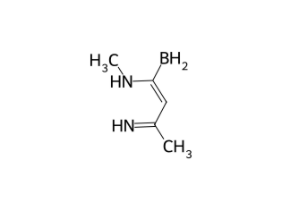 B/C(=C/C(C)=N)NC